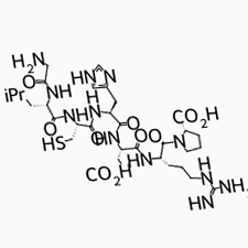 CC(C)C[C@H](NC(=O)CN)C(=O)N[C@@H](CS)C(=O)N[C@@H](Cc1c[nH]cn1)C(=O)N[C@@H](CC(=O)O)C(=O)N[C@@H](CCCNC(=N)N)C(=O)N1CCC[C@H]1C(=O)O